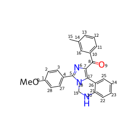 COc1ccc(-c2nc(C(=O)c3cccc(C)c3)c3n2CNc2ccccc2-3)cc1